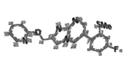 CSc1cc(F)ccc1-c1cnc2nc(COc3ccccn3)cn2c1